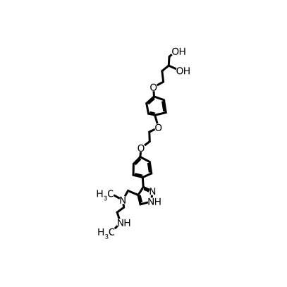 CNCCN(C)Cc1c[nH]nc1-c1ccc(OCCOc2ccc(OCCC(O)CO)cc2)cc1